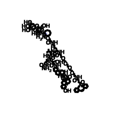 CC(C)[C@H](NC(=O)[C@@H](CCCCNC(=O)COC1CCCCC/C(N[C@H]2O[C@H](CO)[C@@H](OC3C[C@@H](O)[C@H](O)[C@@H](CO)O3)[C@H](O)[C@H]2O)=C\1N)NC(=O)CCOCCOCCOCCOCCNC(=O)CCC(=O)N1Cc2ccccc2C#Cc2ccccc21)C(=O)N[C@@H](CCCNC(N)=O)C(=O)N[C@@H](CO)C(=O)Nc1ccc2c(c1)[C@@]1(C)CCC[C@](C)(C(=O)NC(=O)[C@@]3(C)CCC[C@]4(C)c5cc(O)ccc5CC[C@@H]34)[C@@H]1CC2